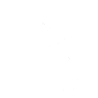 O=C(N[C@H]1CCC2(CCN(CC3CCCCC3)CC2)c2ccccc21)C1CC1